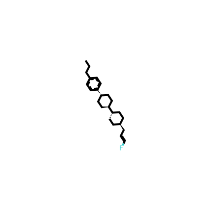 CCCc1ccc([C@H]2CC[C@H]([C@H]3CC[C@H](CC=CF)CC3)CC2)cc1